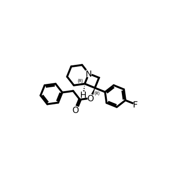 O=C(Cc1ccccc1)O[C@]1(c2ccc(F)cc2)CN2CCCC[C@@H]21